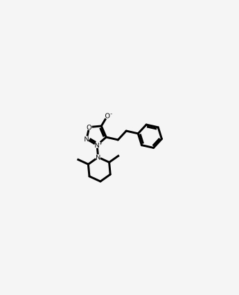 CC1CCCC(C)N1[n+]1noc([O-])c1CCc1ccccc1